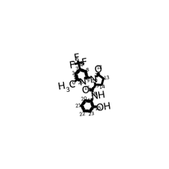 Cc1cc(C(F)(F)F)cc(N2C(=O)CCC2C(=O)Nc2ccccc2O)n1